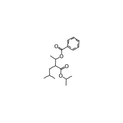 CC(C)CC(C(=O)OC(C)C)C(C)OC(=O)c1ccccc1